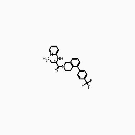 CC[C@@H](Nc1ccccn1)C(=O)N1CCc2c(cccc2-c2ccc(C(F)(F)F)cc2)C1